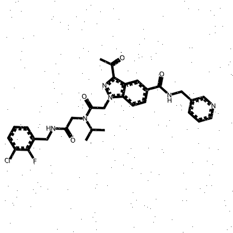 CC(=O)c1nn(CC(=O)N(CC(=O)NCc2cccc(Cl)c2F)C(C)C)c2ccc(C(=O)NCc3cccnc3)cc12